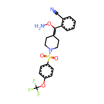 N#Cc1ccccc1C(ON)=C1CCN(S(=O)(=O)c2ccc(OC(F)(F)F)cc2)CC1